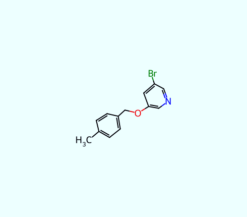 Cc1ccc(COc2cncc(Br)c2)cc1